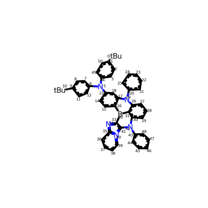 CC(C)(C)c1ccc(N(c2ccc(C(C)(C)C)cc2)c2ccc3c(c2)N(c2ccccc2)c2cccc4c2B3c2nc3ccccn3c2N4c2ccccc2)cc1